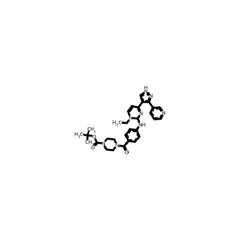 CCN1C=CC(c2c[nH]nc2-c2cccnc2)=NC1Nc1ccc(C(=O)N2CCN(C(=O)OC(C)(C)C)CC2)cc1